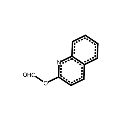 O=COc1ccc2ccccc2n1